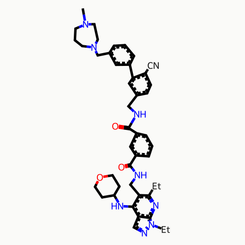 CCc1nc2c(cnn2CC)c(NC2CCOCC2)c1CNC(=O)c1cccc(C(=O)NCc2ccc(C#N)c(-c3cccc(CN4CCCN(C)CC4)c3)c2)c1